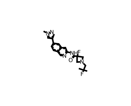 Cn1cc(-c2ccc3cnc(NC(=O)C4(F)CN(CC(C)(C)F)C4)cc3c2)cn1